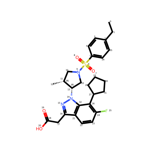 CCc1ccc(S(=O)(=O)N2C[C@@H](C)[C@@H](n3nc(CC(=O)O)c4ccc(F)c(C5CCCC5)c43)C2)cc1